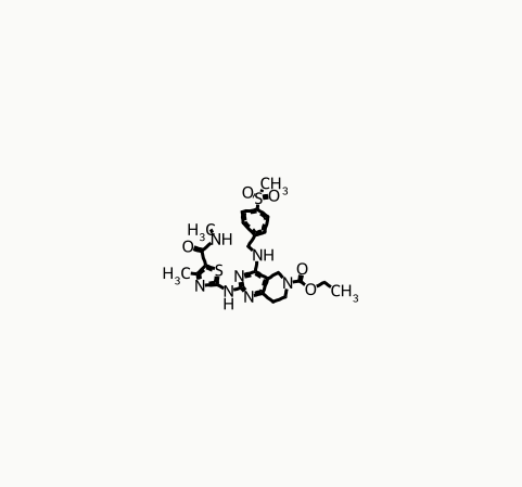 CCOC(=O)N1CCc2nc(Nc3nc(C)c(C(=O)NC)s3)nc(NCc3ccc(S(C)(=O)=O)cc3)c2C1